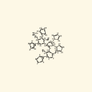 Fc1ccc(-n2cccc2)c(F)c1-[c-]1ccc(C2C=CC=C2)c1C1C=CC=C1.Fc1ccc(-n2cccc2)c(F)c1-[c-]1cccc1.[Ti+2]